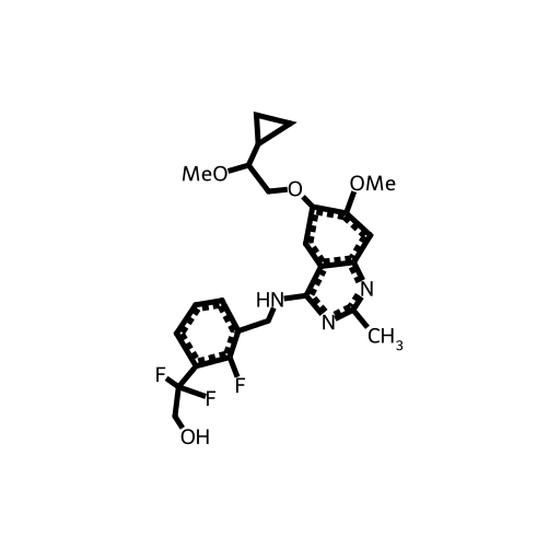 COc1cc2nc(C)nc(NCc3cccc(C(F)(F)CO)c3F)c2cc1OCC(OC)C1CC1